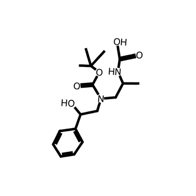 CC(CN(CC(O)c1ccccc1)C(=O)OC(C)(C)C)NC(=O)O